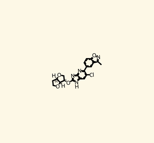 Cc1noc2ccc(-c3nc4nc(O[C@@H]5CO[C@@H]6CCO[C@@H]65)[nH]c4cc3Cl)cc12